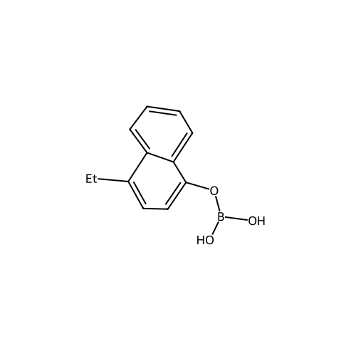 CCc1ccc(OB(O)O)c2ccccc12